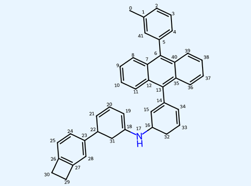 Cc1cccc(-c2c3ccccc3c(C3=CC(NC4=CC=CC(c5ccc6c(c5)CC6)C4)CC=C3)c3ccccc23)c1